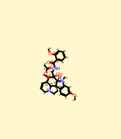 CC[C@]12C=CCN3CC[C@@]4(c5ccc(OC)cc5N(C)[C@H]4C(O)(CNC(=O)c4ccccc4OC)[C@@H]1OC(C)=O)C32